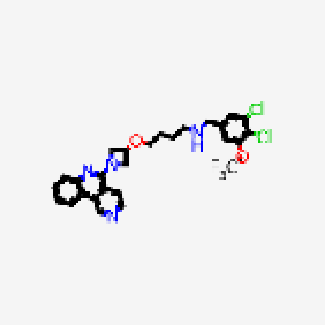 FC(F)(F)Oc1cc(CNCCCCOC2CN(c3nc4ccccc4c4cnccc34)C2)cc(Cl)c1Cl